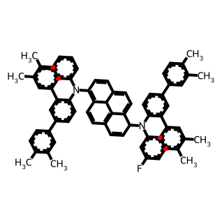 Cc1ccc(-c2ccc(N(C3=C4C=CC5=C6C(=CC=C(C=C3)C46)C(N(c3cccc(F)c3)c3ccc(-c4ccc(C)c(C)c4)cc3-c3ccc(C)c(C)c3)C=C5)c3cccc(F)c3)c(-c3ccc(C)c(C)c3)c2)cc1C